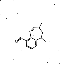 CC1C=Nc2c(P=O)cccc2C(C)C1